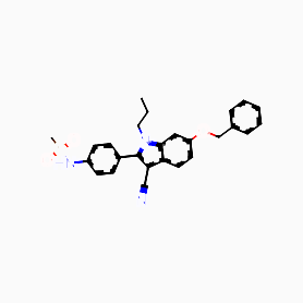 CCCn1c(-c2ccc(NS(C)(=O)=O)cc2)c(C#N)c2ccc(OCc3ccccc3)cc21